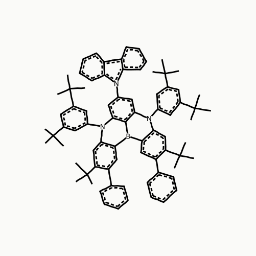 CC(C)(C)c1cc(N2c3cc(C(C)(C)C)c(-c4ccccc4)cc3B3c4cc(-c5ccccc5)c(C(C)(C)C)cc4N(c4cc(C(C)(C)C)cc(C(C)(C)C)c4)c4cc(-n5c6ccccc6c6ccccc65)cc2c43)cc(C(C)(C)C)c1